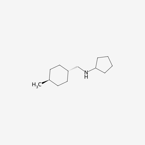 C[C@H]1CC[C@H](CNC2CCCC2)CC1